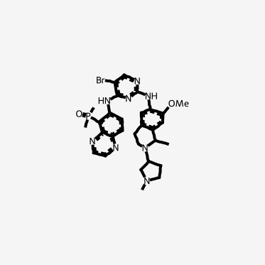 COc1cc2c(cc1Nc1ncc(Br)c(Nc3ccc4nccnc4c3P(C)(C)=O)n1)CCN(C1CCN(C)C1)C2C